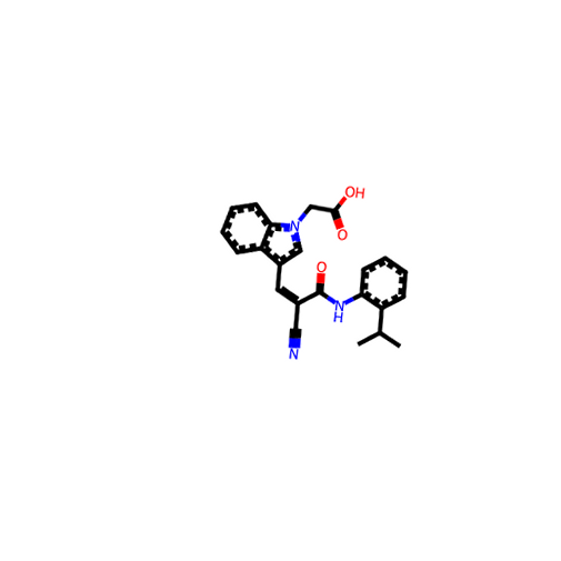 CC(C)c1ccccc1NC(=O)C(C#N)=Cc1cn(CC(=O)O)c2ccccc12